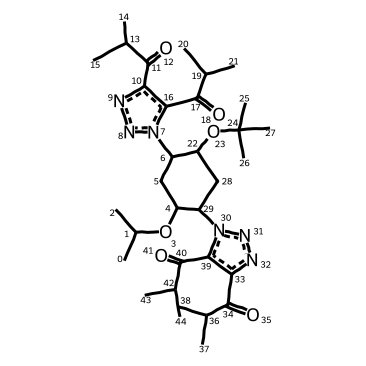 CC(C)OC1CC(n2nnc(C(=O)C(C)C)c2C(=O)C(C)C)C(OC(C)(C)C)CC1n1nnc(C(=O)C(C)C)c1C(=O)C(C)C